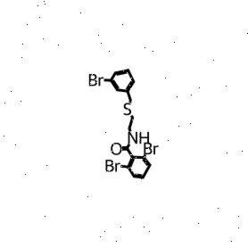 O=C(NCCSCc1cccc(Br)c1)c1c(Br)cccc1Br